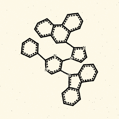 c1ccc(-c2ncc(-n3c4ccccc4c4ccccc43)c(-n3ccnc3-c3cc4ccccc4c4ccccc34)n2)cc1